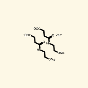 COCCNC(=O)CCC(=O)[O-].COCCNC(=O)CCC(=O)[O-].[Zn+2]